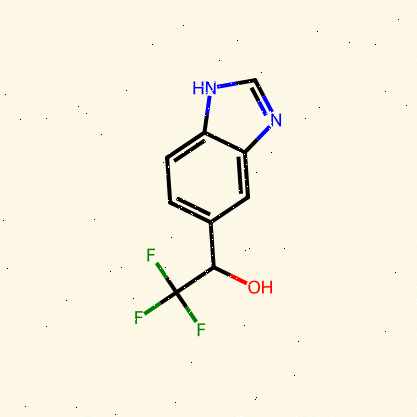 OC(c1ccc2[nH]cnc2c1)C(F)(F)F